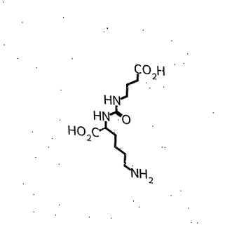 NCCCC[C@H](NC(=O)NCCCC(=O)O)C(=O)O